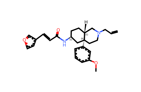 C=CCN1CC[C@@]2(c3cccc(OC)c3)C[C@@H](NC(=O)C=Cc3ccoc3)CC[C@@H]2C1